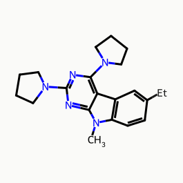 CCc1ccc2c(c1)c1c(N3CCCC3)nc(N3CCCC3)nc1n2C